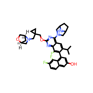 CC(C)c1cc2c(N3CC4CCC(C3)N4)nc(OCC3(CN4C[C@@H]5C[C@H]4CO5)CC3)nc2c(F)c1-c1cc(O)cc2ccc(F)c(F)c12